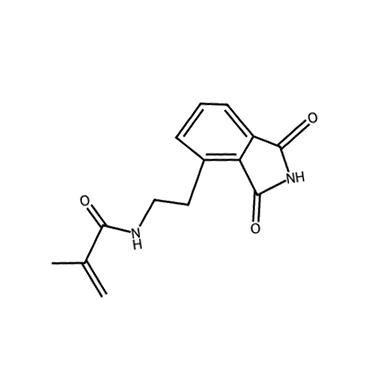 C=C(C)C(=O)NCCc1cccc2c1C(=O)NC2=O